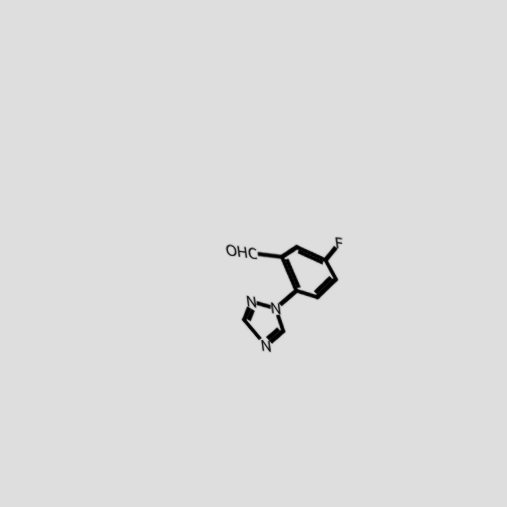 O=Cc1cc(F)ccc1-n1cncn1